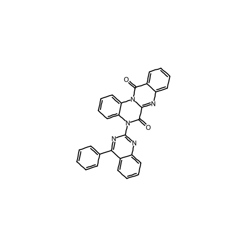 O=c1c2nc3ccccc3c(=O)n2c2ccccc2n1-c1nc(-c2ccccc2)c2ccccc2n1